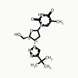 Cc1cn(C2C[C@H](n3cc(C(C)(C)C)nn3)[C@@H](CO)O2)c(=O)[nH]c1=O